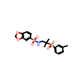 Cc1cccc(S(=O)(=O)C(C)(C)CNS(=O)(=O)c2ccc3c(c2)OCO3)c1